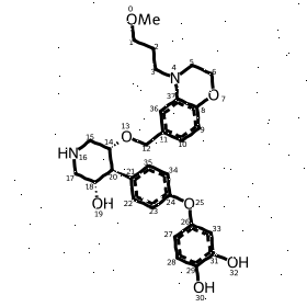 COCCCN1CCOc2ccc(CO[C@H]3CNC[C@@H](O)[C@@H]3c3ccc(Oc4ccc(O)c(O)c4)cc3)cc21